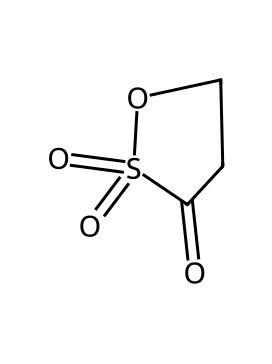 O=C1CCOS1(=O)=O